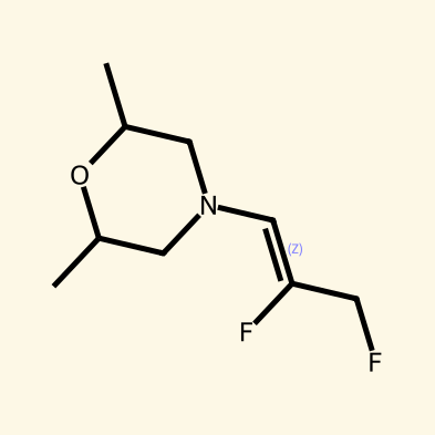 CC1CN(/C=C(\F)CF)CC(C)O1